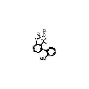 CCOP1(=O)Oc2cccc(-c3ccccc3C(C)(C)C)c2C1(C)C